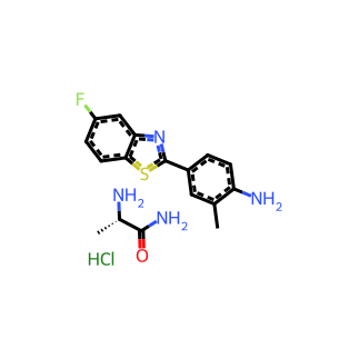 C[C@H](N)C(N)=O.Cc1cc(-c2nc3cc(F)ccc3s2)ccc1N.Cl